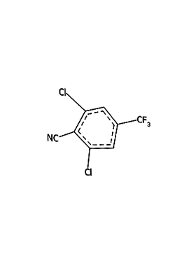 N#Cc1c(Cl)cc(C(F)(F)F)cc1Cl